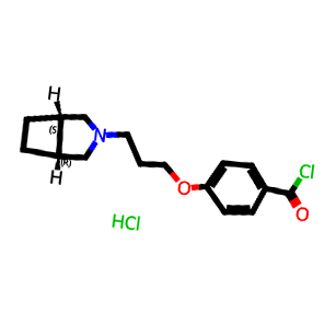 Cl.O=C(Cl)c1ccc(OCCCN2C[C@H]3CC[C@H]3C2)cc1